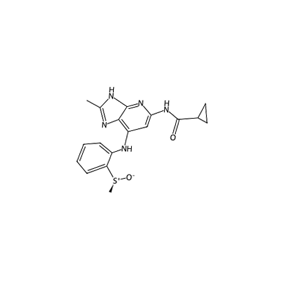 Cc1nc2c(Nc3ccccc3[S@+](C)[O-])cc(NC(=O)C3CC3)nc2[nH]1